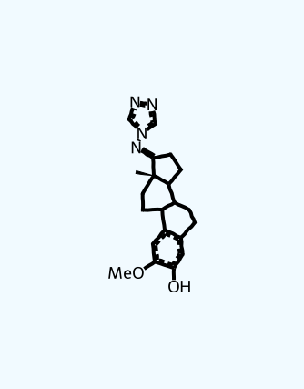 COc1cc2c(cc1O)CCC1C2CC[C@]2(C)/C(=N/n3cnnc3)CCC12